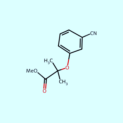 COC(=O)C(C)(C)Oc1cccc(C#N)c1